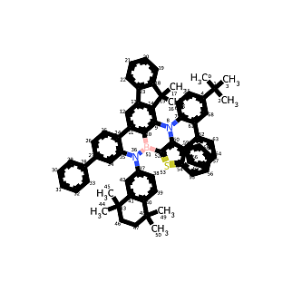 CC(C)(C)c1ccc(N2c3c4c(cc5c3C(C)(C)c3ccccc3-5)-c3ccc(-c5ccccc5)cc3N(c3ccc5c(c3)C(C)(C)CCC5(C)C)B4c3sc4ccccc4c32)c(-c2ccccc2)c1